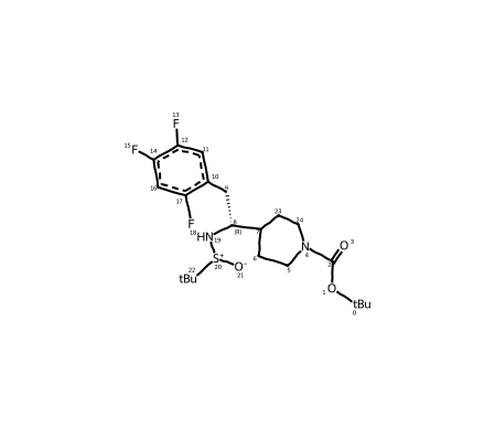 CC(C)(C)OC(=O)N1CCC([C@@H](Cc2cc(F)c(F)cc2F)N[S+]([O-])C(C)(C)C)CC1